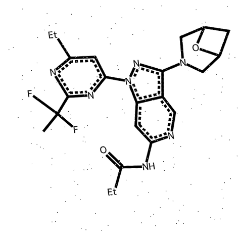 CCC(=O)Nc1cc2c(cn1)c(N1CC3CC(C1)O3)nn2-c1cc(CC)nc(C(C)(F)F)n1